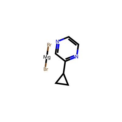 [Br][Mg][Br].c1cnc([C]2CC2)cn1